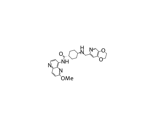 COc1ccc2nccc(NC(=O)[C@H]3CC[C@H](NCc4cc5c(cn4)OCCO5)CC3)c2n1